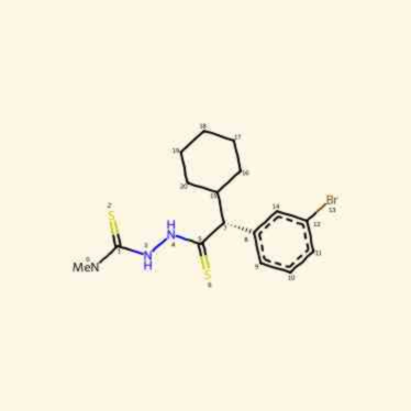 CNC(=S)NNC(=S)[C@@H](c1cccc(Br)c1)C1CCCCC1